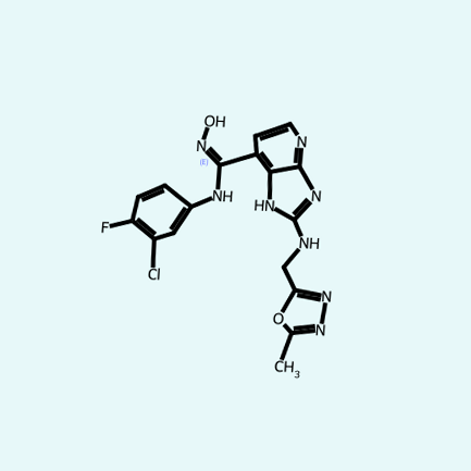 Cc1nnc(CNc2nc3nccc(/C(=N\O)Nc4ccc(F)c(Cl)c4)c3[nH]2)o1